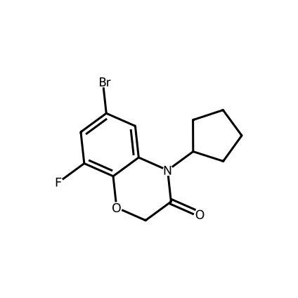 O=C1COc2c(F)cc(Br)cc2N1C1CCCC1